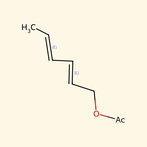 C/C=C/C=C/COC(C)=O